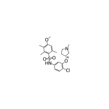 COc1cc(C)c(S(=O)(=O)Nc2ccc(Cl)c(O[C@@H]3CCN(C)C3)c2)c(C)c1C